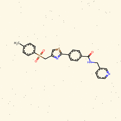 Cc1ccc(S(=O)(=O)Cc2csc(-c3ccc(C(=O)NCc4cccnc4)cc3)n2)cc1